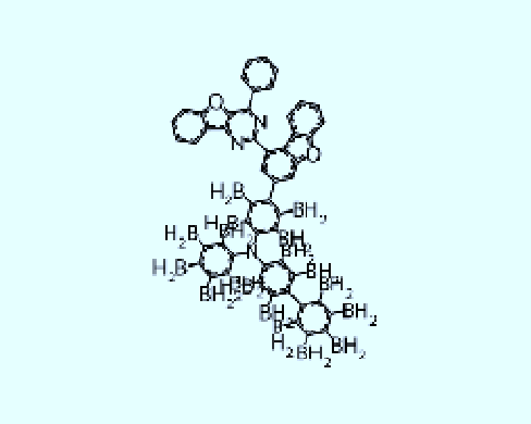 Bc1c(B)c(B)c(-c2c(B)c(B)c(N(c3c(B)c(B)c(B)c(B)c3B)c3c(B)c(B)c(-c4cc(-c5nc(-c6ccccc6)c6oc7ccccc7c6n5)c5c(c4)oc4ccccc45)c(B)c3B)c(B)c2B)c(B)c1B